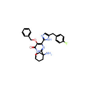 NC12CCC(CC1)Cn1c2nc(-c2ncc(Cc3ccc(F)cc3)[nH]2)c(OCc2ccccc2)c1=O